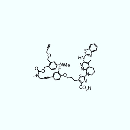 C#CCOCc1cc(NC)ccc1COC(=O)N(C)CC#Cc1ccc(OCCCc2sc(N3CCCc4c3nnc(Nc3nc5ccccc5s3)c4C)nc2C(=O)O)c(F)c1